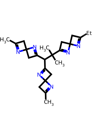 CCC1=NC2(C1)CC(C(C)(C)C(C1=NC3(CC(C)=N3)C1)C1=NC3(CC(C)=N3)C1)=N2